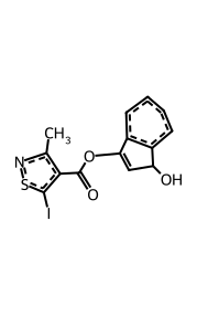 Cc1nsc(I)c1C(=O)OC1=CC(O)c2ccccc21